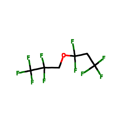 FC(F)(F)CC(F)(F)OCC(F)(F)C(F)(F)F